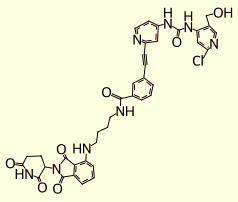 O=C1CCC(N2C(=O)c3cccc(NCCCCNC(=O)c4cccc(C#Cc5cc(NC(=O)Nc6cc(Cl)ncc6CO)ccn5)c4)c3C2=O)C(=O)N1